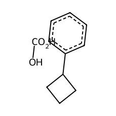 O=C(O)O.c1ccc(C2CCC2)cc1